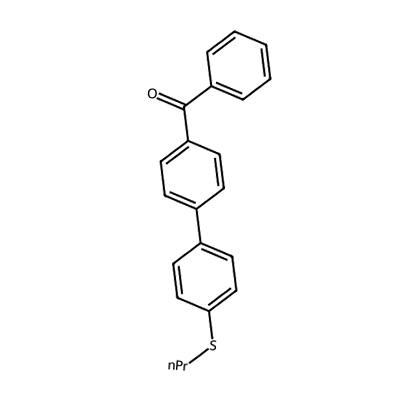 CCCSc1ccc(-c2ccc(C(=O)c3ccccc3)cc2)cc1